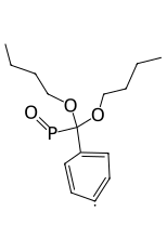 CCCCOC(OCCCC)(P=O)c1cc[c]cc1